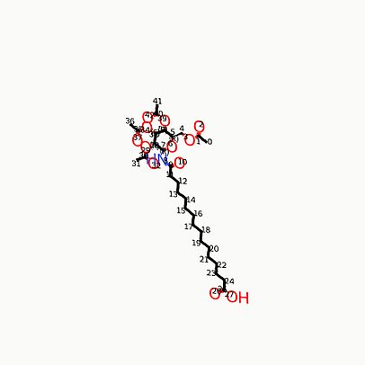 CC(=O)OC[C@H]1O[C@@H](NC(=O)CCCCCCCCCCCCCCC(=O)O)[C@H](OC(C)=O)[C@@H](OC(C)=O)[C@H]1OC(C)=O